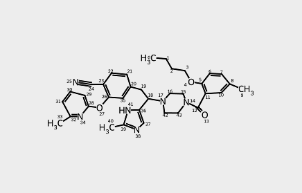 CCCCOc1ccc(C)cc1C(=O)N1CCN(C(Cc2ccc(C#N)c(Oc3cccc(C)n3)c2)c2cnc(C)[nH]2)CC1